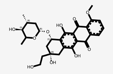 COc1cccc2c1C(=O)c1c(O)c3c(c(O)c1C2=O)C[C@@](O)(CCO)C[C@@H]3O[C@H]1C[C@@H](C)[C@H](O)C(C)O1